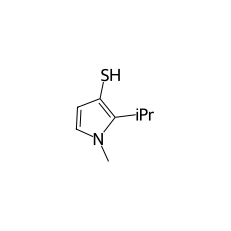 CC(C)c1c(S)ccn1C